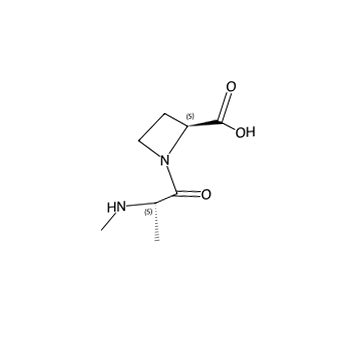 CN[C@@H](C)C(=O)N1CC[C@H]1C(=O)O